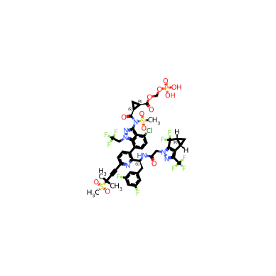 CC(C)(C#Cc1ccc(-c2ccc(Cl)c3c(N(C(=O)[C@H]4C[C@H]4C(=O)OCOP(=O)(O)O)S(C)(=O)=O)nn(CC(F)(F)F)c23)c([C@H](Cc2cc(F)cc(F)c2)NC(=O)Cn2nc(C(F)(F)F)c3c2C(F)(F)[C@@H]2C[C@H]32)n1)S(C)(=O)=O